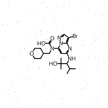 CC(C)C(Nc1cc(N(CC2CCOCC2)C(=O)O)n2ncc(Br)c2n1)C(C)(C)O